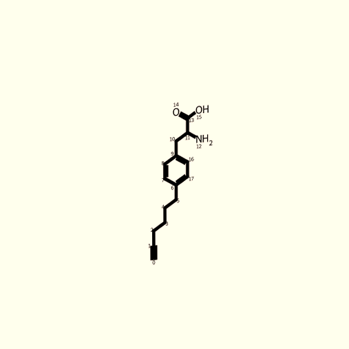 C#CCCCCc1ccc(CC(N)C(=O)O)cc1